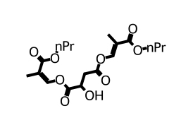 CCCOC(=O)C(C)=COC(=O)CC(O)C(=O)OC=C(C)C(=O)OCCC